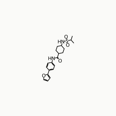 CC(C)S(=O)(=O)NC1CCC(C(=O)Nc2ccc(-c3ccco3)cc2)CC1